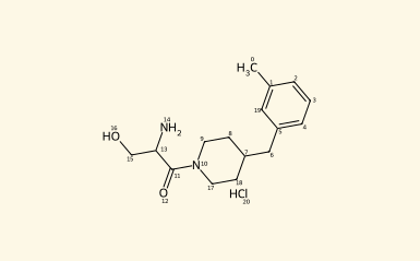 Cc1cccc(CC2CCN(C(=O)C(N)CO)CC2)c1.Cl